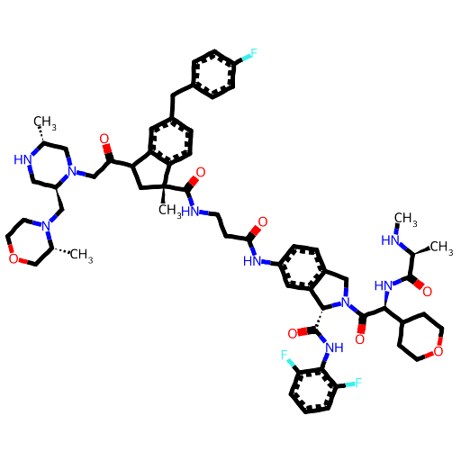 CN[C@@H](C)C(=O)N[C@H](C(=O)N1Cc2ccc(NC(=O)CCNC(=O)[C@]3(C)CC(C(=O)CN4C[C@@H](C)NC[C@@H]4CN4CCOC[C@H]4C)c4cc(Cc5ccc(F)cc5)ccc43)cc2[C@H]1C(=O)Nc1c(F)cccc1F)C1CCOCC1